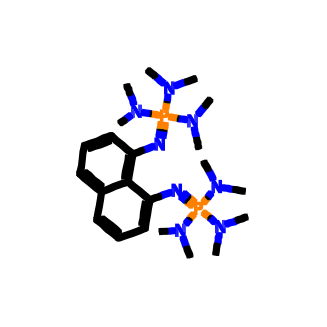 CN(C)P(=Nc1cccc2cccc(N=P(N(C)C)(N(C)C)N(C)C)c12)(N(C)C)N(C)C